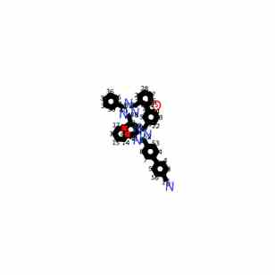 N#Cc1ccc(-c2ccc(-c3nc(-c4ccccc4)nc(-c4ccc5oc6cccc(-c7nc(-c8ccccc8)nc(-c8ccccc8)n7)c6c5c4)n3)cc2)cc1